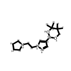 CC1(C)COB(c2cnn(CCN3CCCC3)c2)OC1(C)C